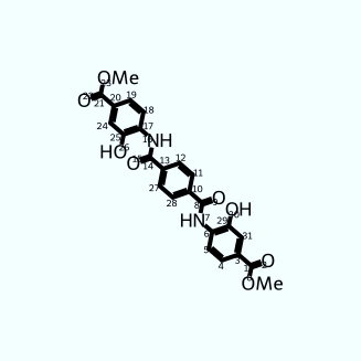 COC(=O)c1ccc(NC(=O)c2ccc(C(=O)Nc3ccc(C(=O)OC)cc3O)cc2)c(O)c1